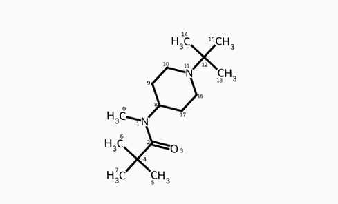 CN(C(=O)C(C)(C)C)C1CCN(C(C)(C)C)CC1